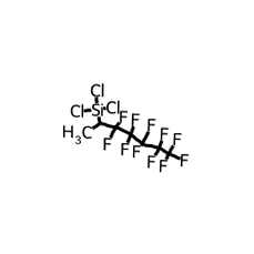 CC(C(F)(F)C(F)(F)C(F)(F)C(F)(F)C(F)(F)F)[Si](Cl)(Cl)Cl